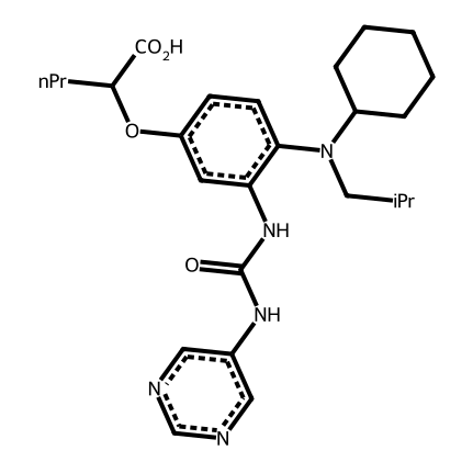 CCCC(Oc1ccc(N(CC(C)C)C2CCCCC2)c(NC(=O)Nc2cncnc2)c1)C(=O)O